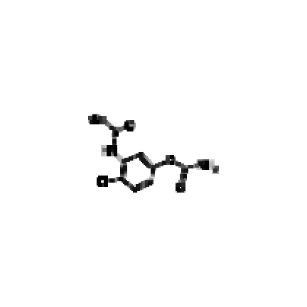 CC(C)(C)[S+]([O-])Nc1cc(OC(N)=O)ccc1Cl